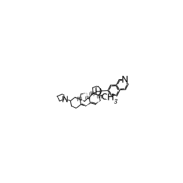 C[C@@]12CC=C3C=C4CCC(N5CCC5)C[C@]45CC[C@]3(C5)[C@@H]1CCC2c1ccc2ccncc2c1